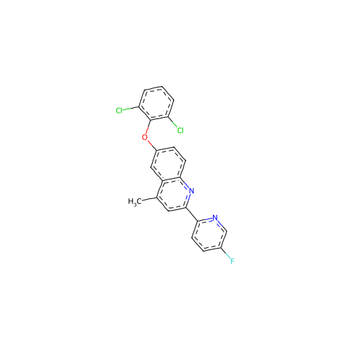 Cc1cc(-c2ccc(F)cn2)nc2ccc(Oc3c(Cl)cccc3Cl)cc12